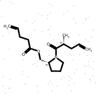 C=CCCC(=O)OC[C@H]1CCCN1C(=O)[C@H](C)CC=C